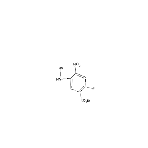 CCOC(=O)c1cc(NC(C)C)c([N+](=O)[O-])cc1F